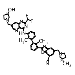 Cc1c(Nc2nc(C(F)F)nc3cc(CN4CC[C@@H](O)C4)cnc23)cccc1-c1cccc(-c2nc3cc(CN4CC[C@H](C)C4)cc(C#N)c3o2)c1C